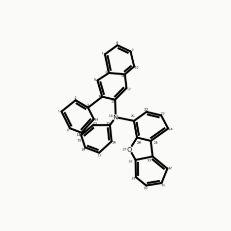 c1ccc(-c2cc3ccccc3cc2N(c2ccccc2)c2cccc3c2oc2ccccc23)cc1